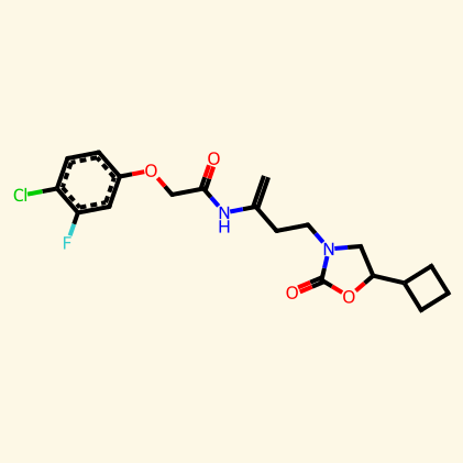 C=C(CCN1CC(C2CCC2)OC1=O)NC(=O)COc1ccc(Cl)c(F)c1